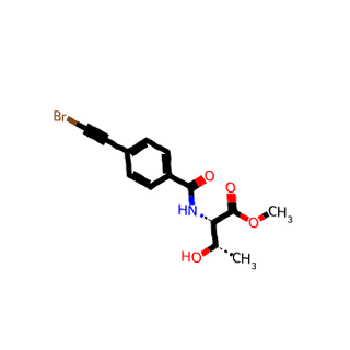 COC(=O)[C@@H](NC(=O)c1ccc(C#CBr)cc1)[C@H](C)O